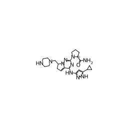 NC(=O)[C@@H]1CCCN1C1=NN2C(=CCC2CN2CCNCC2)C(Nc2cc(C3CC3)[nH]n2)=N1